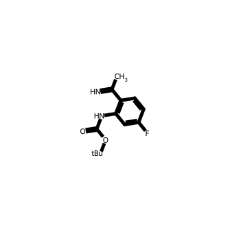 CC(=N)c1ccc(F)cc1NC(=O)OC(C)(C)C